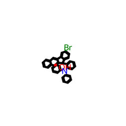 OC1(c2ccccc2N(c2ccccc2)c2ccccc2)c2ccc(Br)cc2-c2cc3ccccc3cc21